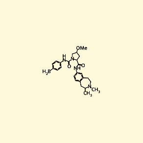 Bc1ccc(NC(=O)N2CC(OC)CC2C(=O)Nc2ccc3c(c2)CCN(C)C(C)C3)cc1